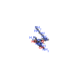 COCC(OC)(OC)OC(C)N.Cn1ccnc1.NCCNCCNCCN.NCCNCCNCCNCCN.OCCNCCO